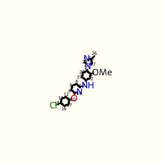 COc1cc(Nc2cccc(Oc3ccc(Cl)cc3)n2)ccc1-n1cnc(C)c1